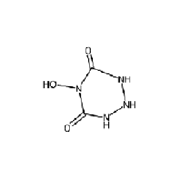 O=C1NNNC(=O)N1O